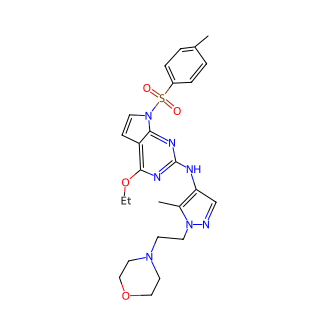 CCOc1nc(Nc2cnn(CCN3CCOCC3)c2C)nc2c1ccn2S(=O)(=O)c1ccc(C)cc1